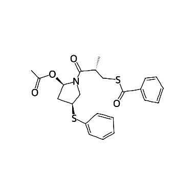 CC(=O)O[C@@H]1C[C@H](Sc2ccccc2)CN1C(=O)[C@H](C)CSC(=O)c1ccccc1